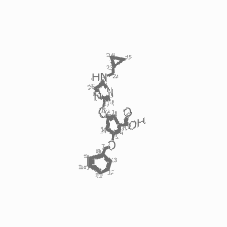 O=C(O)c1cc(OCc2ccccc2)cc(Oc2cnc(NCC3CC3)cn2)c1